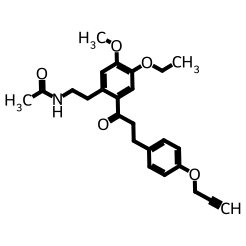 C#CCOc1ccc(CCC(=O)c2cc(OCC)c(OC)cc2CCNC(C)=O)cc1